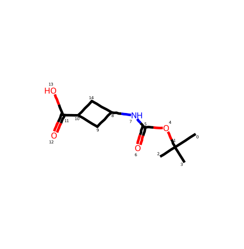 CC(C)(C)OC(=O)NC1CC(C(=O)O)C1